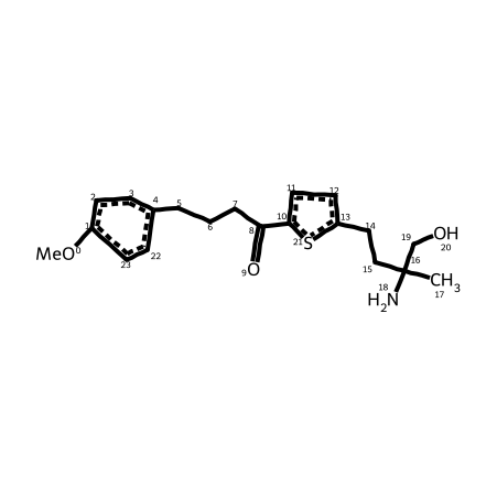 COc1ccc(CCCC(=O)c2ccc(CCC(C)(N)CO)s2)cc1